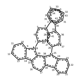 c1ccc(-c2ccc(-n3c4ccccc4c4ccc5c6ccccc6n(-c6ccc(-c7ccccc7)cn6)c5c43)nc2)cc1